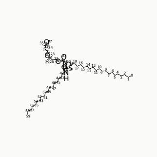 CCCCCCCCCCCCCCCCCCCC(CNC(=O)OCCC(C)(C)OCCC(C)(C)OC)SC(=O)NCCCCCCCCCCCCCCCCCC